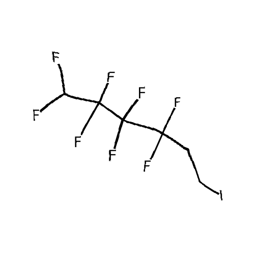 FC(F)C(F)(F)C(F)(F)C(F)(F)CCI